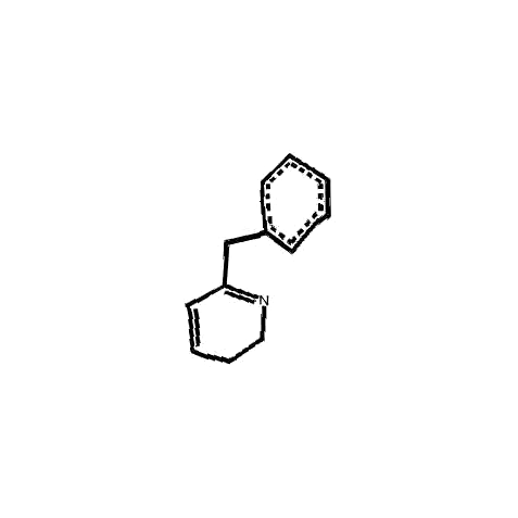 C1=CC(Cc2ccccc2)=NCC1